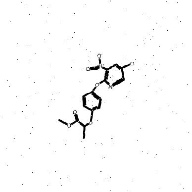 COC(=O)C(C)Oc1ccc(Oc2ncc(Cl)cc2[N+](=O)[O-])cc1